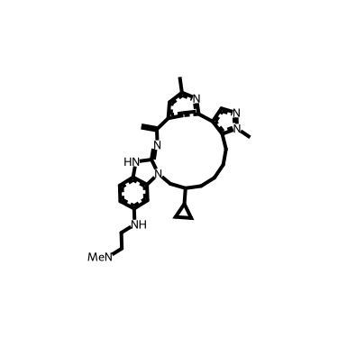 C=C1/N=C2\Nc3ccc(NCCNC)cc3N2CC(C2CC2)CCCCc2c(cnn2C)-c2cc1cc(C)n2